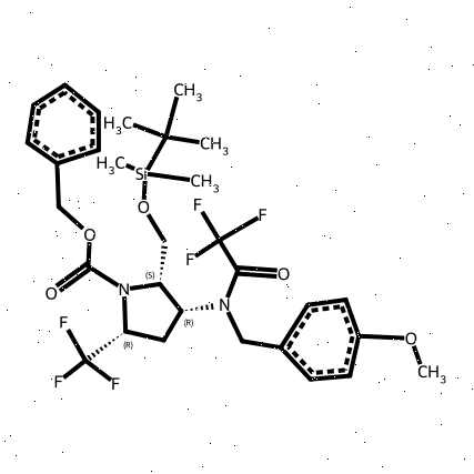 COc1ccc(CN(C(=O)C(F)(F)F)[C@@H]2C[C@H](C(F)(F)F)N(C(=O)OCc3ccccc3)[C@@H]2CO[Si](C)(C)C(C)(C)C)cc1